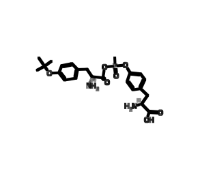 CC(C)(C)Oc1ccc(C[C@@H](N)C(=O)OP(C)(=O)Oc2ccc(C[C@H](N)C(=O)O)cc2)cc1